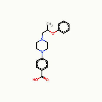 CC(CN1CCN(c2ccc(C(=O)O)cc2)CC1)Oc1ccccc1